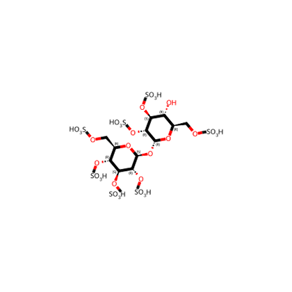 O=S(=O)(O)OC[C@H]1O[C@H](O[C@@H]2O[C@H](COS(=O)(=O)O)[C@@H](OS(=O)(=O)O)[C@H](OS(=O)(=O)O)[C@H]2OS(=O)(=O)O)[C@H](OS(=O)(=O)O)[C@@H](OS(=O)(=O)O)[C@@H]1O